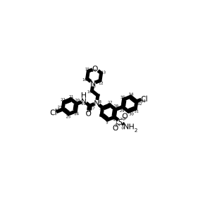 NS(=O)(=O)c1ccc(N(CCN2CCOCC2)C(=O)Nc2ccc(Cl)cc2)cc1-c1ccc(Cl)cc1